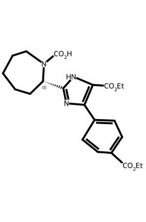 CCOC(=O)c1ccc(-c2nc([C@@H]3CCCCCN3C(=O)O)[nH]c2C(=O)OCC)cc1